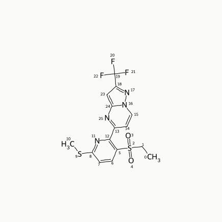 CCS(=O)(=O)c1ccc(SC)nc1-c1ccn2nc(C(F)(F)F)cc2n1